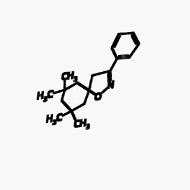 CC1(C)CC(C)(C)CC2(CC(c3ccccc3)=NO2)C1